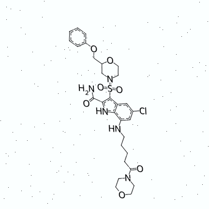 NC(=O)c1[nH]c2c(NCCCCC(=O)N3CCOCC3)cc(Cl)cc2c1S(=O)(=O)N1CCOC(COc2ccccc2)C1